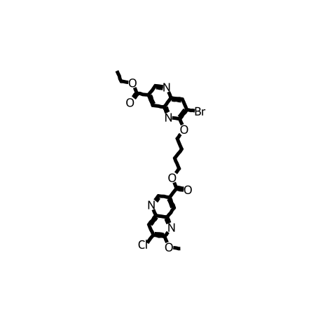 CCOC(=O)c1cnc2cc(Br)c(OCCCCOC(=O)c3cnc4cc(Cl)c(OC)nc4c3)nc2c1